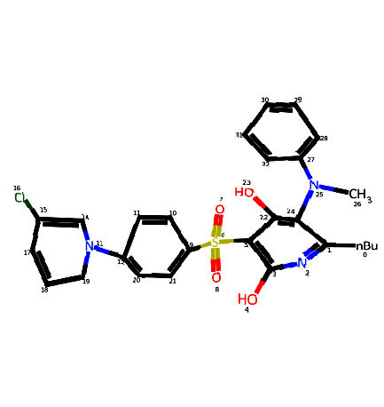 CCCCc1nc(O)c(S(=O)(=O)c2ccc(N3C=C(Cl)C=CC3)cc2)c(O)c1N(C)c1ccccc1